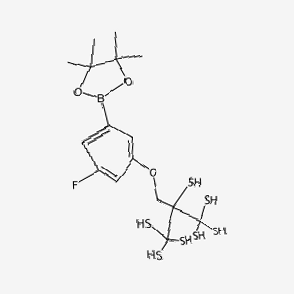 CC1(C)OB(c2cc(F)cc(OCC(S)(C(S)(S)S)C(S)(S)S)c2)OC1(C)C